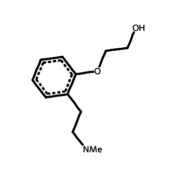 CNCCc1ccccc1OCCO